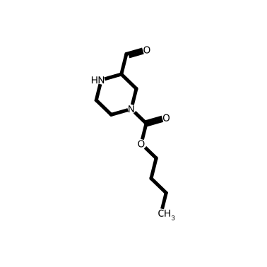 CCCCOC(=O)N1CCNC(C=O)C1